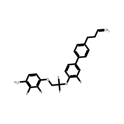 C=CCCc1ccc(-c2ccc(OC(F)(F)COc3ccc(C)c(F)c3F)c(F)c2)cc1